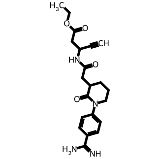 C#CC(CC(=O)OCC)NC(=O)CC1CCCN(c2ccc(C(=N)N)cc2)C1=O